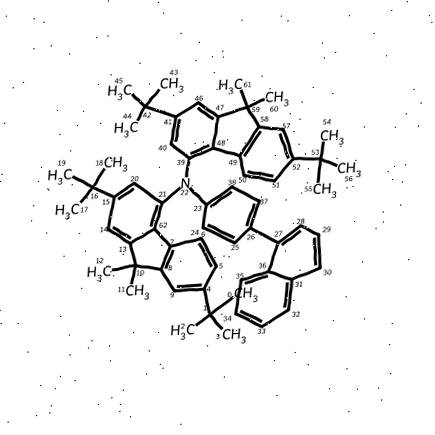 CC(C)(C)c1ccc2c(c1)C(C)(C)c1cc(C(C)(C)C)cc(N(c3ccc(-c4cccc5ccccc45)cc3)c3cc(C(C)(C)C)cc4c3-c3ccc(C(C)(C)C)cc3C4(C)C)c1-2